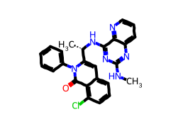 CNc1nc(N[C@@H](C)c2cc3cccc(Cl)c3c(=O)n2-c2ccccc2)c2ncccc2n1